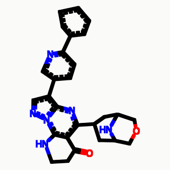 O=C1CCNc2c1c(C1CC3COCC(C1)N3)nc1c(-c3ccc(-c4ccccc4)nc3)cnn21